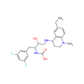 CCc1ccc2c(c1)C(NCC(O)C(Cc1cc(F)cc(F)c1)NC(=O)O)CCN2C